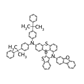 CC(C)(c1ccccc1)c1ccc(N(c2ccc(C(C)(C)c3ccccc3)cc2)c2ccc3c(c2)Sc2cccc4c2B3c2sc3ccccc3c2N4c2ccc3c(c2)oc2ccccc23)cc1